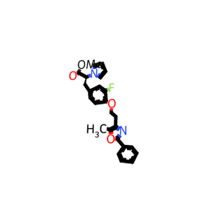 COC(=O)[C@H](Cc1ccc(OCCc2nc(-c3ccccc3)oc2C)c(F)c1)n1cccc1